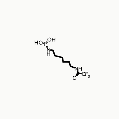 O=C(NCCCCCCNP(O)O)C(F)(F)F